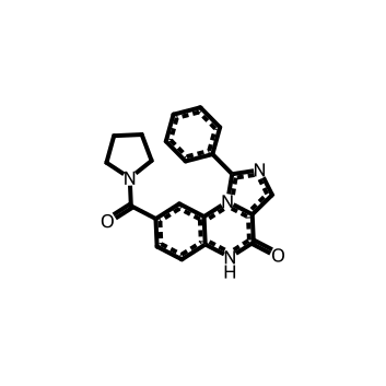 O=C(c1ccc2[nH]c(=O)c3cnc(-c4ccccc4)n3c2c1)N1CCCC1